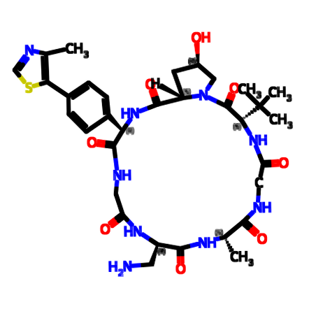 Cc1ncsc1-c1ccc([C@H]2NC(=O)[C@@H]3C[C@@H](O)CN3C(=O)[C@H](C(C)(C)C)NC(=O)CNC(=O)[C@H](C)NC(=O)[C@@H](CN)NC(=O)CNC2=O)cc1